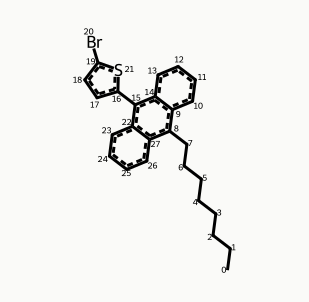 CCCCCCCCc1c2ccccc2c(-c2ccc(Br)s2)c2ccccc12